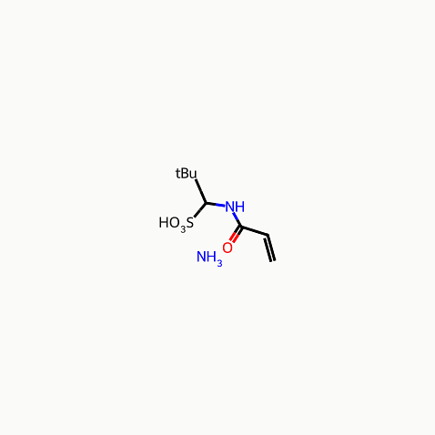 C=CC(=O)NC(C(C)(C)C)S(=O)(=O)O.N